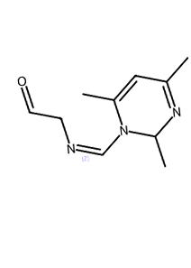 CC1=CC(C)=NC(C)N1/C=N\CC=O